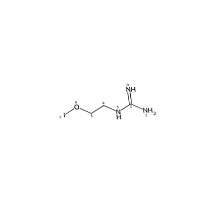 N=C(N)NCCOI